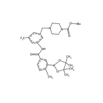 Cc1ccc(C(=O)Nc2cc(CN3CCN(C(=O)OC(C)(C)C)CC3)cc(C(F)(F)F)c2)cc1B1OC(C)(C)C(C)(C)O1